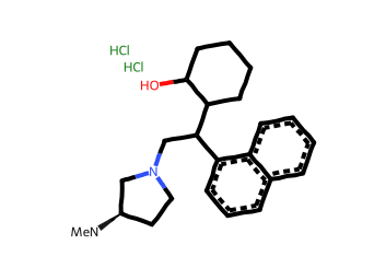 CN[C@@H]1CCN(CC(c2cccc3ccccc23)C2CCCCC2O)C1.Cl.Cl